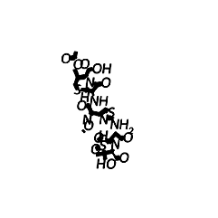 CC1(C)[C@H](C(=O)O)N2C(=O)C[C@H]2S1(=O)=O.CO/N=C(/C(=O)N[C@@H]1C(=O)N2C(C(=O)O)=C(COC(C)=O)CS[C@H]12)c1csc(N)n1